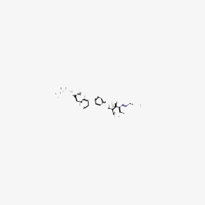 COc1cc2nccc(Oc3ccc(NC(=O)c4cnc(C)c(/C=C/CC(C)C)c4O)cc3F)c2nc1OC